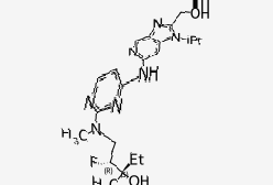 CC[C@](C)(O)[C@H](F)CN(C)c1nccc(Nc2cc3c(cn2)nc(CO)n3C(C)C)n1